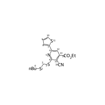 CCCCSCSc1nc(-c2cccs2)cc(C(=O)OCC)c1C#N